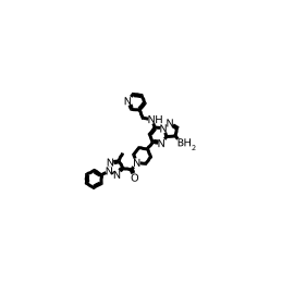 BC1C=NN2C(NCc3cccnc3)=CC(C3CCN(C(=O)c4nn(-c5ccccc5)nc4C)CC3)=NC12